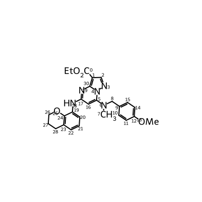 CCOC(=O)c1cnn2c(N(C)Cc3ccc(OC)cc3)cc(Nc3cccc4c3OCCC4)nc12